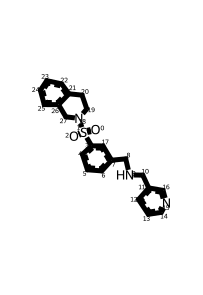 O=S(=O)(c1cccc(CNCc2cccnc2)c1)N1CCc2ccccc2C1